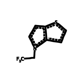 FC(F)(F)Cn1ccc2sccc21